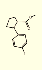 COC(=O)[C@H]1CCCN1c1ccc(I)cc1